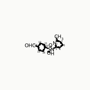 Cc1cccc(NS(=O)(=O)c2ccc(C=O)cc2)n1